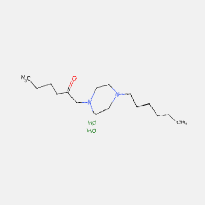 CCCCCCN1CCN(CC(=O)CCCC)CC1.Cl.Cl